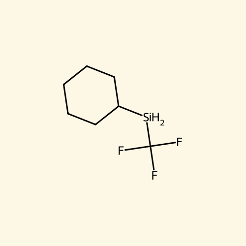 FC(F)(F)[SiH2]C1CCCCC1